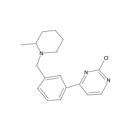 CC1CCCCN1Cc1cccc(-c2ccnc(Cl)n2)c1